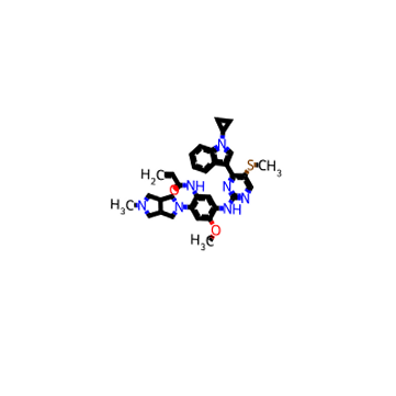 C=CC(=O)Nc1cc(Nc2ncc(SC)c(-c3cn(C4CC4)c4ccccc34)n2)c(OC)cc1N1CC2CN(C)CC2C1